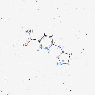 O=C(O)c1ccc(NC2CCNC2)nn1